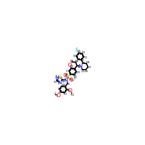 COc1ccc(CN(c2ncns2)S(=O)(=O)c2cc3c(cc2F)C(N2CCCCC2c2ccc(F)cc2)CCO3)c(OC)c1